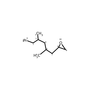 CC(C)CC(C)CC(C)CC1CO1